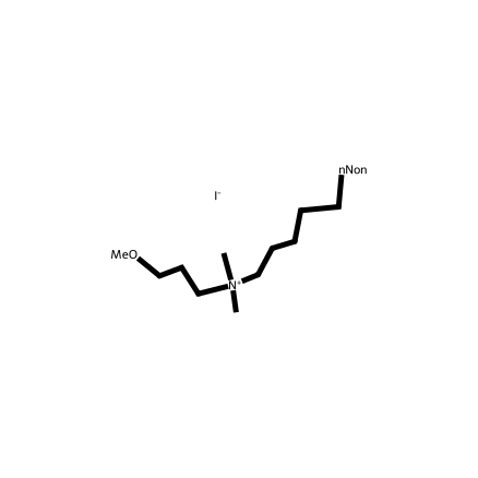 CCCCCCCCCCCCCC[N+](C)(C)CCCOC.[I-]